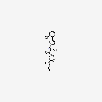 C=CCNC(=O)CN(C=S)C(=O)/C(S)=C/c1ccc(-c2ccccc2Cl)o1